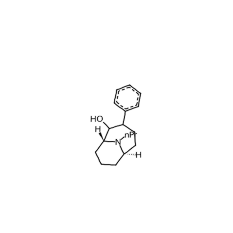 CCCN1[C@@H]2CCC[C@@H]1C(O)C(c1ccccc1)CC2